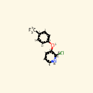 FC(F)(F)c1ccc(Oc2cccnc2Cl)cc1